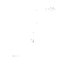 CCOC(=O)Cc1ccc(Cc2ccc(OC)cc2)cn1